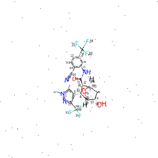 Cn1cc([C@H]2[C@H]3O[C@H](C[C@@H]3O)[C@@H]2C(=O)Nc2cc(C(F)(F)F)ccc2C#N)c(C(F)(F)F)n1